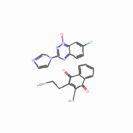 CCCCCCCCCCCCC1=C(OC(C)=O)C(=O)c2ccccc2C1=O.[O-][n+]1nc(-n2ccnc2)nc2ccc(Cl)cc21